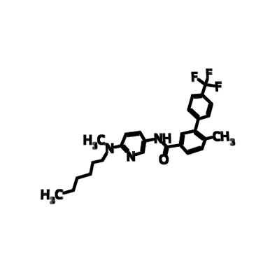 CCCCCCN(C)c1ccc(NC(=O)c2ccc(C)c(-c3ccc(C(F)(F)F)cc3)c2)cn1